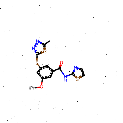 Cc1nnc(Sc2cc(OC(C)C)cc(C(=O)Nc3nccs3)c2)s1